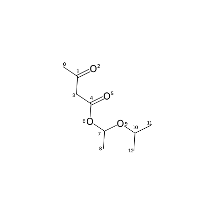 CC(=O)CC(=O)OC(C)OC(C)C